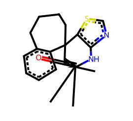 CC1(C)CC(=O)C2=C(C1)Nc1ncsc1C21CCCCc2ccccc21